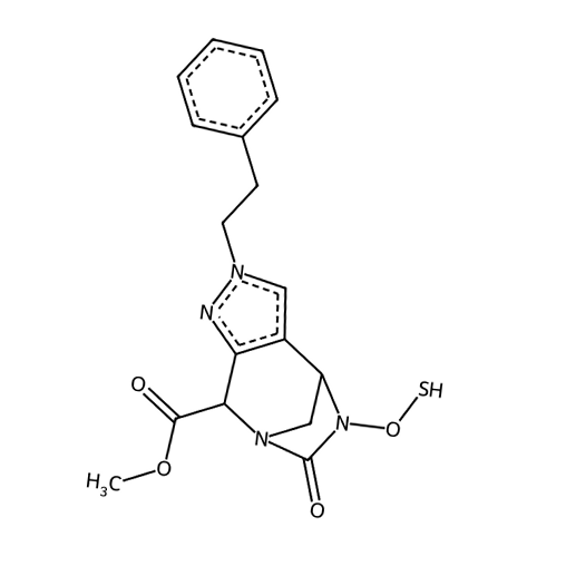 COC(=O)C1c2nn(CCc3ccccc3)cc2C2CN1C(=O)N2OS